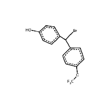 Oc1ccc(C(Br)c2ccc(OC(F)(F)F)cc2)cc1